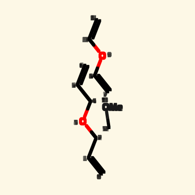 C=CCOCC=C.C=COC=C.COC